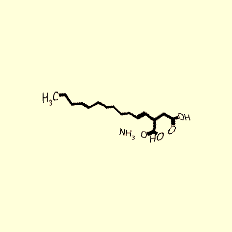 CCCCCCCCCCC=CC(CC(=O)O)C(=O)O.N